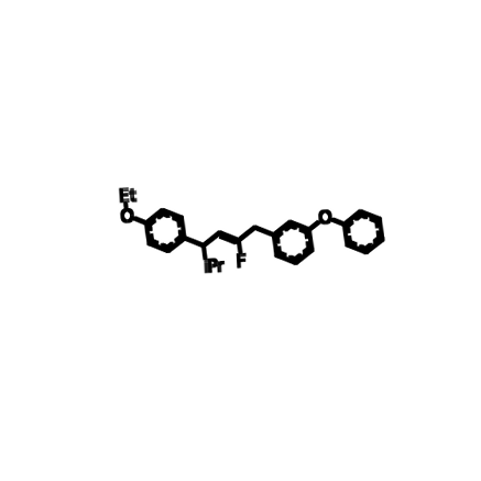 CCOc1ccc(C(C=C(F)Cc2cccc(Oc3ccccc3)c2)C(C)C)cc1